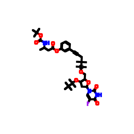 CC(CC(=O)Oc1cccc(C#CCC(C)(C)[Si](C)(C)OCC2OC(n3cc(I)c(=O)[nH]c3=O)CC2O[Si](C)(C)C(C)(C)C)c1)NC(=O)OC(C)(C)C